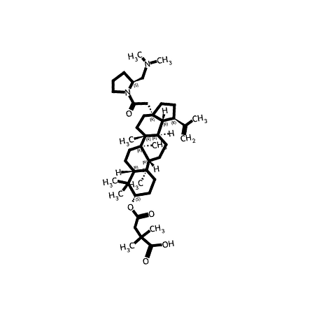 C=C(C)[C@@H]1CC[C@]2(CC(=O)N3CCC[C@H]3CN(C)C)CC[C@]3(C)[C@H](CC[C@@H]4[C@@]5(C)CC[C@H](OC(=O)CC(C)(C)C(=O)O)C(C)(C)[C@@H]5CC[C@]43C)[C@@H]12